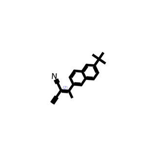 C#C/C(C#N)=C(\C)c1ccc2cc(C(C)(C)C)ccc2c1